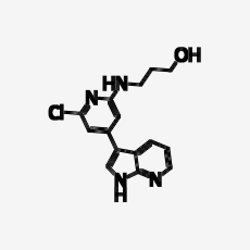 OCCCNc1cc(-c2c[nH]c3ncccc23)cc(Cl)n1